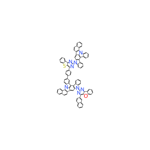 c1ccc2cc(-c3nc(-n4c5ccccc5c5c6c7cc(-c8ccc(-c9nc(-n%10c%11ccccc%11c%11c%12c%13ccccc%13n%13c%14c%15ccccc%15ccc%14c(cc%11%10)c%12%13)nc%10c9sc9ccccc9%10)cc8)ccc7n7c8c9ccccc9ccc8c(cc54)c67)nc4c3oc3ccccc34)ccc2c1